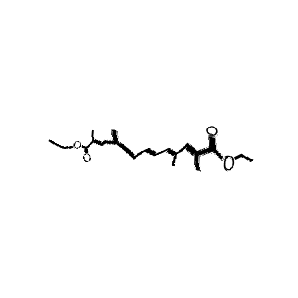 CCOC(=O)/C(C)=C/C(C)=C/C=C/C=C(C)/C=C(\C)C(=O)OCC